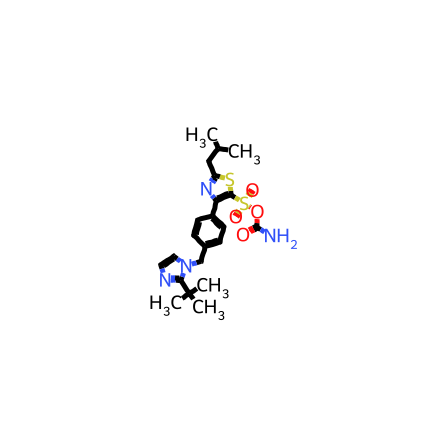 CC(C)Cc1nc(-c2ccc(Cn3ccnc3C(C)(C)C)cc2)c(S(=O)(=O)OC(N)=O)s1